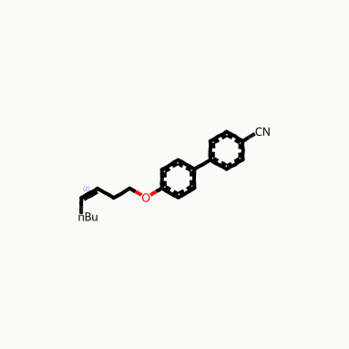 CCCC/C=C\CCOc1ccc(-c2ccc(C#N)cc2)cc1